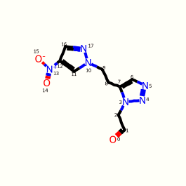 O=CCn1nncc1CCn1cc([N+](=O)[O-])cn1